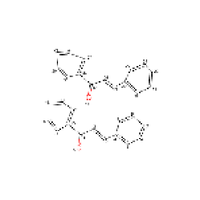 O=C(C=Cc1ccccc1)c1ccccc1.O=C(C=Cc1ccccc1)c1ccccc1